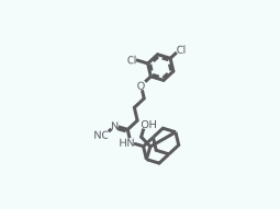 N#C/N=C(/CCCOc1ccc(Cl)cc1Cl)NC1C2CC3CC(C2)C(CO)C1C3